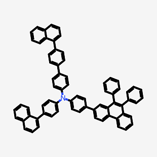 c1ccc(-c2c(-c3ccccc3)c3cc(-c4ccc(N(c5ccc(-c6ccc(-c7cccc8ccccc78)cc6)cc5)c5ccc(-c6cccc7ccccc67)cc5)cc4)ccc3c3ccccc23)cc1